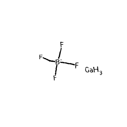 F[B-](F)(F)F.[GaH3]